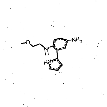 COCCNc1ccc(N)cc1-c1ccc[nH]1